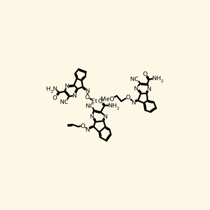 C=CCON=C1c2ccccc2-c2nc(C(N)=O)c(C#N)nc21.CCON=C1c2ccccc2-c2nc(C(N)=O)c(C#N)nc21.COCCON=C1c2ccccc2-c2nc(C(N)=O)c(C#N)nc21